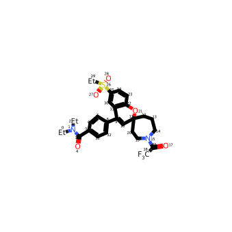 CCN(CC)C(=O)c1ccc(C2=CC3(CCCN(C(=O)C(F)(F)F)CC3)Oc3ccc(S(=O)(=O)CC)cc32)cc1